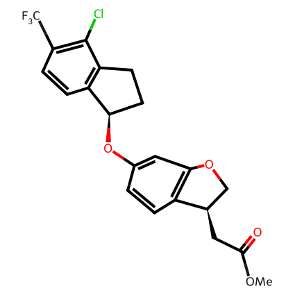 COC(=O)C[C@@H]1COc2cc(O[C@@H]3CCc4c3ccc(C(F)(F)F)c4Cl)ccc21